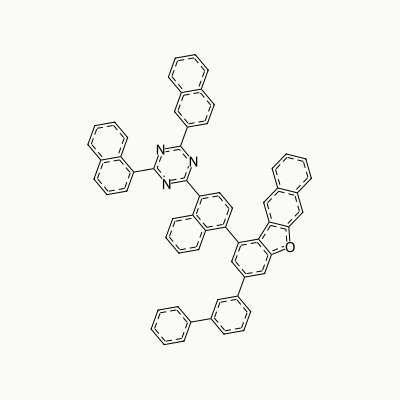 c1ccc(-c2cccc(-c3cc(-c4ccc(-c5nc(-c6ccc7ccccc7c6)nc(-c6cccc7ccccc67)n5)c5ccccc45)c4c(c3)oc3cc5ccccc5cc34)c2)cc1